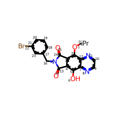 CC(C)Oc1c2c(c(O)c3nccnc13)C(=O)N(Cc1cccc(Br)c1)C2=O